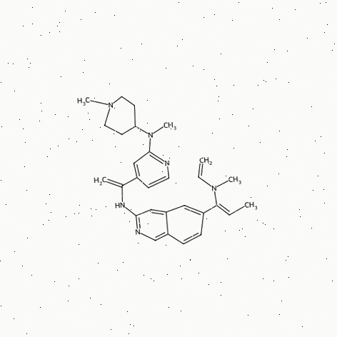 C=CN(C)/C(=C\C)c1ccc2cnc(NC(=C)c3ccnc(N(C)C4CCN(C)CC4)c3)cc2c1